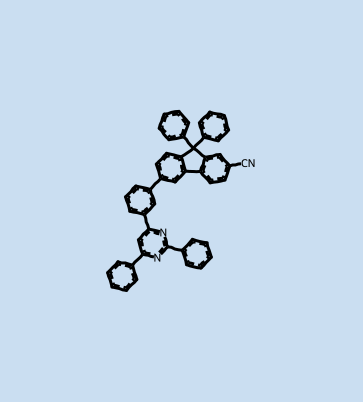 N#Cc1ccc2c(c1)C(c1ccccc1)(c1ccccc1)c1ccc(-c3cccc(-c4cc(-c5ccccc5)nc(-c5ccccc5)n4)c3)cc1-2